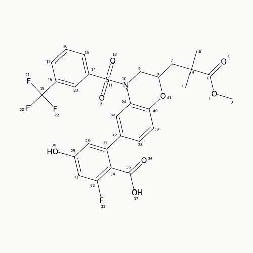 COC(=O)C(C)(C)CC1CN(S(=O)(=O)c2cccc(C(F)(F)F)c2)c2cc(-c3cc(O)cc(F)c3C(=O)O)ccc2O1